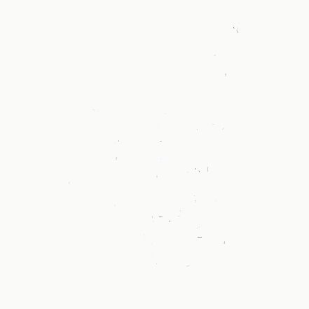 Cc1cc(C)c(S(=O)(=O)NC(/C(=C/c2ccccc2)c2ccccc2)c2ccc(C#N)cc2)c(C)c1